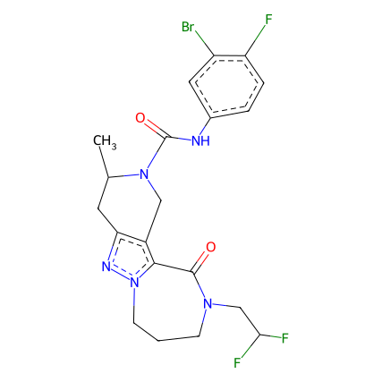 CC1Cc2nn3c(c2CN1C(=O)Nc1ccc(F)c(Br)c1)C(=O)N(CC(F)F)CCC3